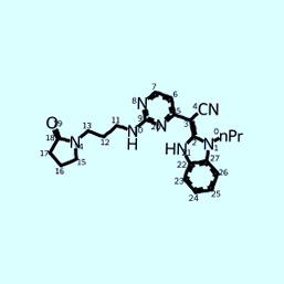 CCCN1C(=C(C#N)c2ccnc(NCCCN3CCCC3=O)n2)Nc2ccccc21